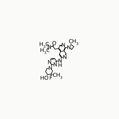 C[C@@H]1CCN1c1ncc(CC(=O)N(C)C)c2cc(Nc3ccnc(N4CC[C@@H](O)[C@@](C)(F)C4)n3)ncc12